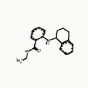 CCNC(=O)c1ccccc1NC1CCCc2ccccc21